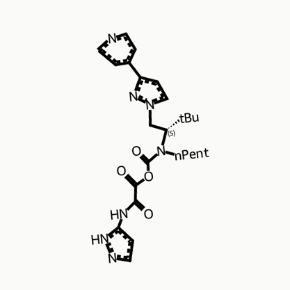 CCCCCN(C(=O)OC(=O)C(=O)Nc1ccn[nH]1)[C@H](Cn1ccc(-c2ccncc2)n1)C(C)(C)C